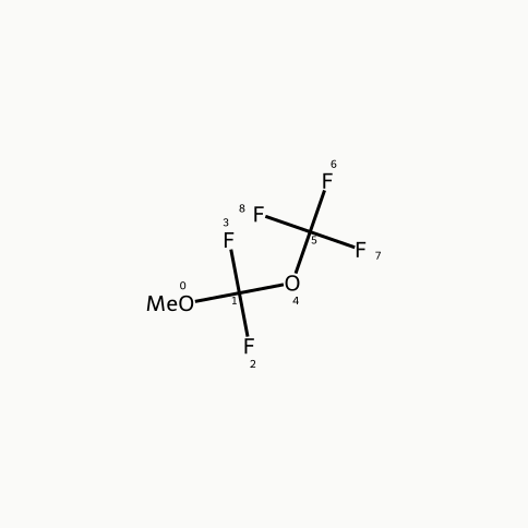 COC(F)(F)OC(F)(F)F